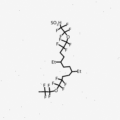 CCC(CCC(CC)CCC(F)(F)C(F)(F)OC(F)(F)C(F)(F)S(=O)(=O)O)CCC(F)(F)C(F)(F)OC(F)(F)C(C)(F)F